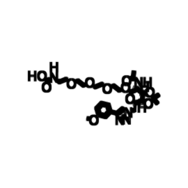 COc1cccc(-c2cn(C[C@H]3OC(OCCOCCOCCOCCNC(=O)O)[C@H](NC(C)=O)[C@H]4OC(C)(C)O[C@H]43)nn2)c1